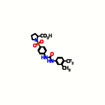 Cc1cc(NC(=O)Nc2ccc(S(=O)(=O)N3CCC[C@H]3C(=O)O)cc2)ccc1C(F)(F)F